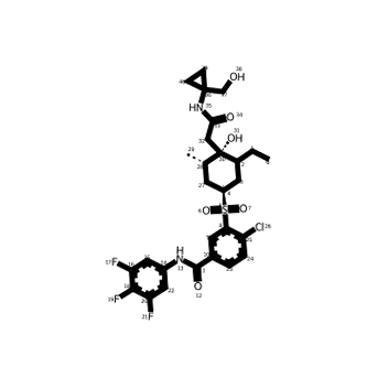 CCC1C[C@@H](S(=O)(=O)c2cc(C(=O)Nc3cc(F)c(F)c(F)c3)ccc2Cl)C[C@H](C)[C@@]1(O)CC(=O)NC1(CO)CC1